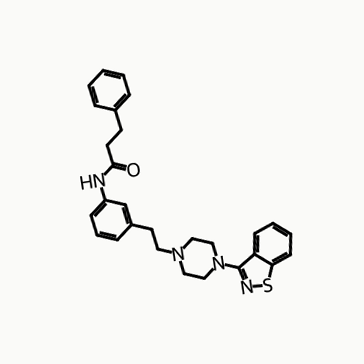 O=C(CCc1ccccc1)Nc1cccc(CCN2CCN(c3nsc4ccccc34)CC2)c1